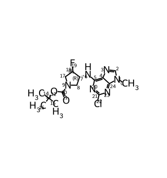 Cn1cnc2c(N[C@@H]3CN(C(=O)OC(C)(C)C)C[C@H]3F)nc(Cl)nc21